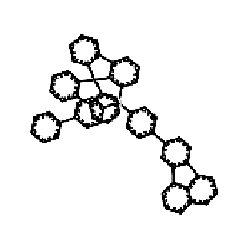 c1ccc(-c2ccc(N(c3ccc(-c4ccc5c(c4)-c4cccc6cccc-5c46)cc3)c3cccc4c3C3(c5ccccc5-c5ccccc53)c3ccccc3-4)cc2)cc1